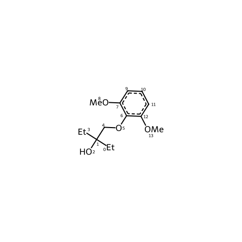 CCC(O)(CC)COc1c(OC)cccc1OC